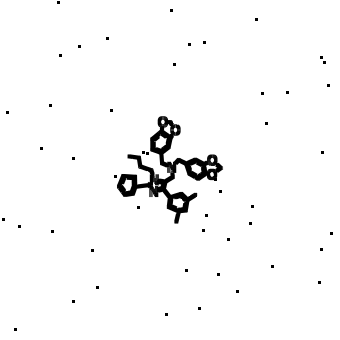 CCCCn1c(-c2ccccc2)nc(-c2cc(C)cc(C)c2)c1CN(Cc1ccc2c(c1)OCO2)Cc1ccc2c(c1)OCO2